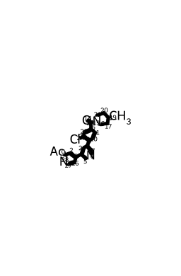 CC(=O)c1cc(-c2cncc(-c3ccc(C(=O)N4CCC(C)CC4)cc3Cl)c2)ccn1